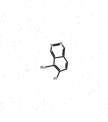 CC(C)c1ccc2cnncc2c1C(C)(C)C